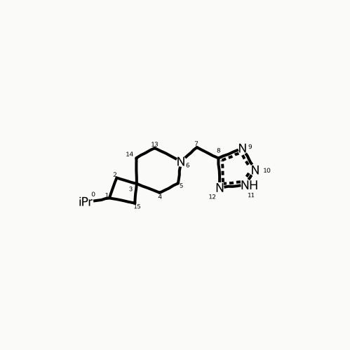 CC(C)C1CC2(CCN(Cc3nn[nH]n3)CC2)C1